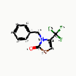 O=c1scc(C(F)(F)F)n1Cc1ccccc1